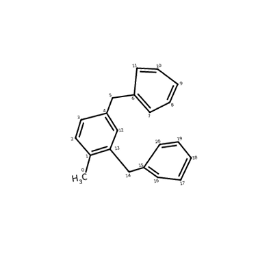 Cc1ccc(Cc2ccccc2)cc1Cc1ccccc1